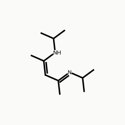 CC(=CC(C)=NC(C)C)NC(C)C